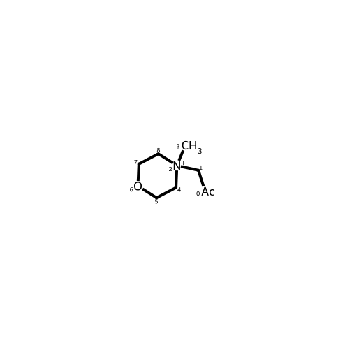 CC(=O)C[N+]1(C)CCOCC1